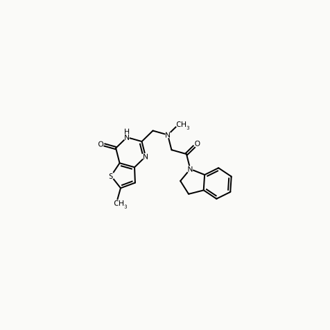 Cc1cc2nc(CN(C)CC(=O)N3CCc4ccccc43)[nH]c(=O)c2s1